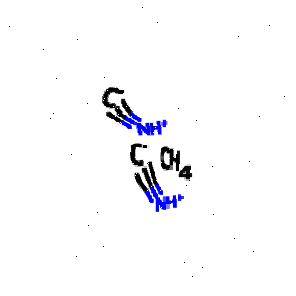 C.[C-]#[NH+].[C-]#[NH+]